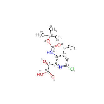 CCc1cc(Cl)nc(C(=O)C(=O)O)c1NC(=O)OC(C)(C)C